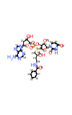 CO[C@H]1C(OP(=O)(O[C@H]2O[C@@H](n3cnc4c(N)ncnc43)C[C@H]2O)SCCCCNC(=O)c2ccccc2)[C@@H](CO)O[C@H]1n1ccc(=O)[nH]c1=O